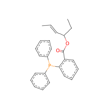 CC=CC(CC)OC(=O)c1ccccc1P(c1ccccc1)c1ccccc1